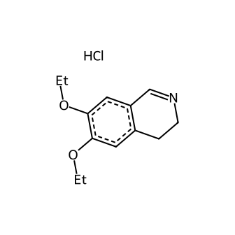 CCOc1cc2c(cc1OCC)CCN=C2.Cl